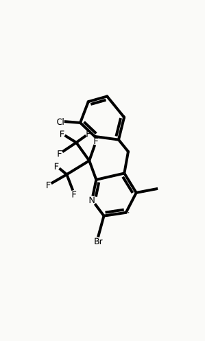 Cc1[c]c(Br)nc(C(F)(C(F)(F)F)C(F)(F)F)c1Cc1cccc(Cl)c1